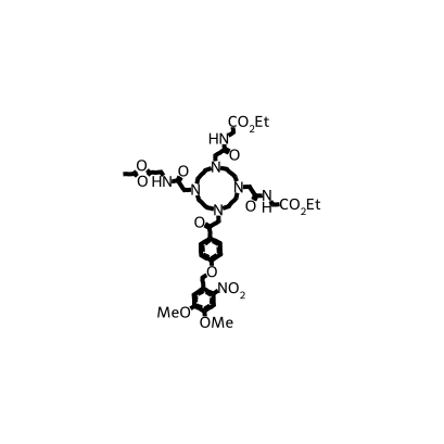 CCOC(=O)CNC(=O)CN1CCN(CC(=O)NCC(=O)OCC)CCN(CC(=O)c2ccc(OCc3cc(OC)c(OC)cc3[N+](=O)[O-])cc2)CCN(CC(=O)NCC2OC(C)O2)CC1